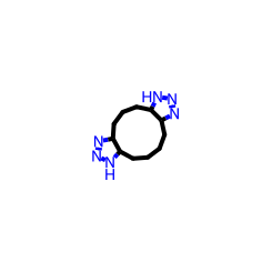 C1CCC2NN=NC2CCCC2NN=NC2C1